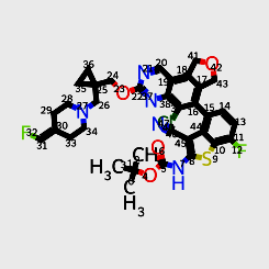 CC(C)(C)OC(=O)Nc1sc2c(F)ccc(-c3c4c(c5cnc(OCC6(CN7CCC(=CF)CC7)CC6)nc5c3Cl)COC4)c2c1C#N